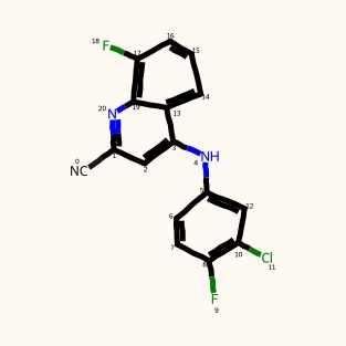 N#Cc1cc(Nc2ccc(F)c(Cl)c2)c2cccc(F)c2n1